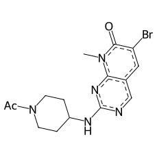 CC(=O)N1CCC(Nc2ncc3cc(Br)c(=O)n(C)c3n2)CC1